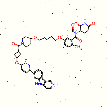 Cc1ccc(OCCCCCOC2CCN(C(=O)C3CC(OC4C=CC(c5ccc6c(c5)[nH]c5ccncc56)=CN4)C3)CC2)cc1C(=O)N(C=O)C1CCC(=O)NC1=O